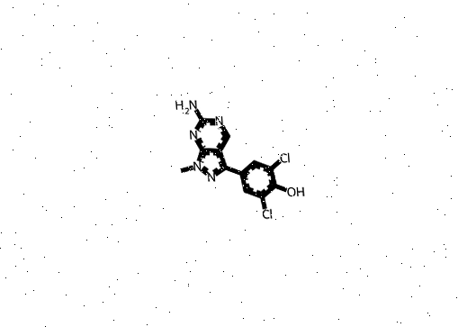 Cn1nc(-c2cc(Cl)c(O)c(Cl)c2)c2cnc(N)nc21